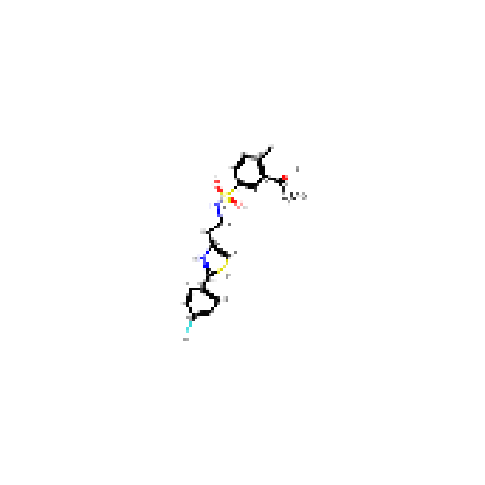 COC(=O)c1cc(S(=O)(=O)NCCc2csc(-c3ccc(F)cc3)n2)ccc1C